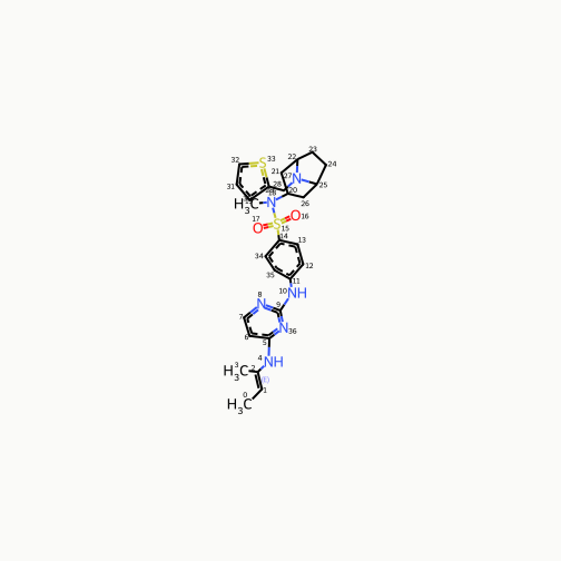 C/C=C(\C)Nc1ccnc(Nc2ccc(S(=O)(=O)N(C)C3CC4CCC(C3)N4Cc3cccs3)cc2)n1